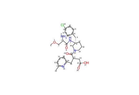 COCC(N)C(=O)N[C@@]1(Cc2ccc(Cl)cc2)CCCN(C(=O)C(CC(=O)O)Cc2cccc(C)n2)C1